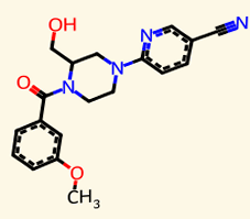 COc1cccc(C(=O)N2CCN(c3ccc(C#N)cn3)CC2CO)c1